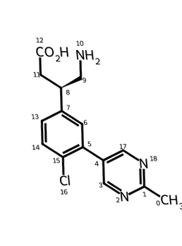 Cc1ncc(-c2cc([C@H](CN)CC(=O)O)ccc2Cl)cn1